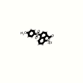 CCN1C(=O)c2ccc(S(=O)(=O)c3ccc(C)cc3)c3cccc1c23